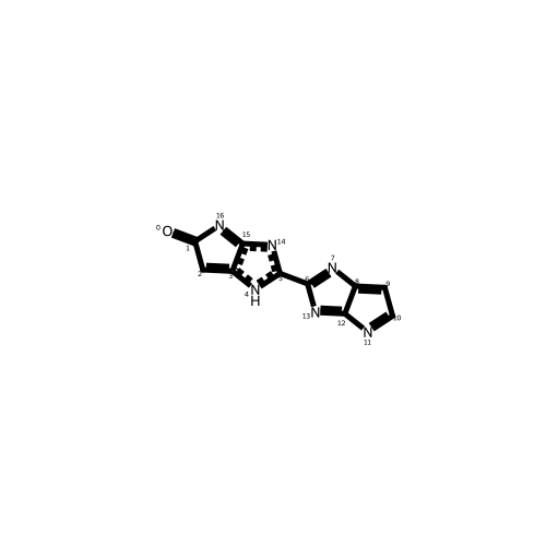 O=C1C=c2[nH]c(C3=NC4=CC=NC4=N3)nc2=N1